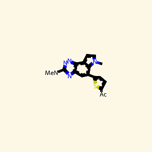 CNc1nnc2c(cc(-c3ccc(C(C)=O)s3)c3c2ccn3C)n1